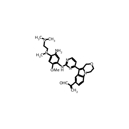 C=C(C=O)c1ccc2c(c1)c(-c1ccnc(Nc3cc(N)c(N(C)CCN(C)C)cc3OC)n1)c1n2CCOC1